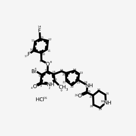 Cc1[nH]c(=O)c(Br)c(OCc2ccc(F)cc2F)c1Cc1ccc(NC(=O)C2CCNCC2)cc1.Cl